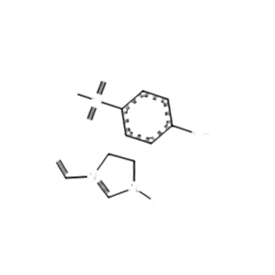 C=C[N+]1=CN(C)CC1.Cc1ccc(S(=O)(=O)[O-])cc1